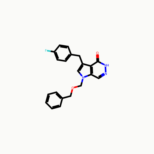 O=c1[nH]ncc2c1c(Cc1ccc(F)cc1)cn2COCc1ccccc1